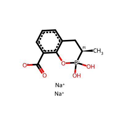 C[C@@H]1Cc2cccc(C(=O)[O-])c2O[B-]1(O)O.[Na+].[Na+]